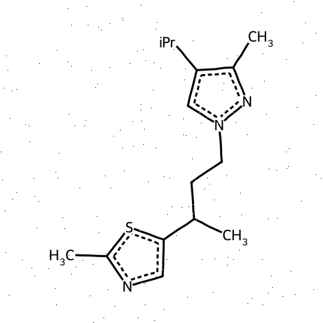 Cc1ncc(C(C)CCn2cc(C(C)C)c(C)n2)s1